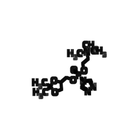 CC1(C)OCC(COP(=O)(OCC[N+](C)(C)C)n2cnnc2)O1